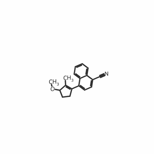 COC1CCC(c2ccc(C#N)c3ccccc23)=C1C